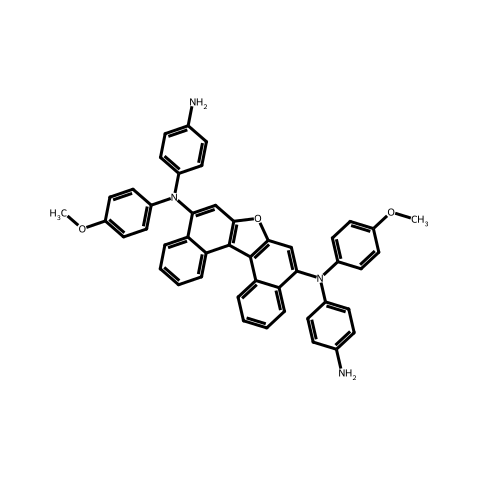 COc1ccc(N(c2ccc(N)cc2)c2cc3oc4cc(N(c5ccc(N)cc5)c5ccc(OC)cc5)c5ccccc5c4c3c3ccccc23)cc1